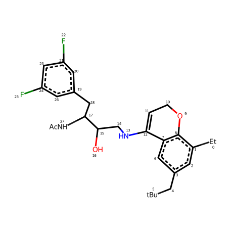 CCc1cc(CC(C)(C)C)cc2c1OCC=C2NCC(O)C(Cc1cc(F)cc(F)c1)NC(C)=O